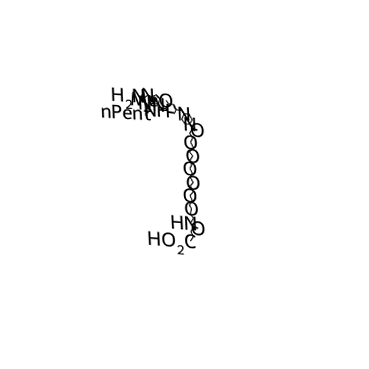 CCCCCNc1nc(N)nc2ccn(Cc3ccc(CN4CCN(C(=O)CCOCCOCCOCCOCCOCCOCCNC(=O)CCC(=O)O)CC4)cc3OC)c12